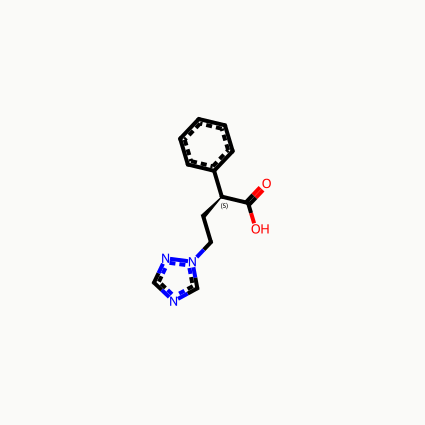 O=C(O)[C@@H](CCn1cncn1)c1ccccc1